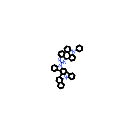 c1ccc(-n2c3ccccc3c3c(-c4nc(-n5c6ccccc6c6c7c8ccc9ccccc9c8n8c9ccccc9c(cc65)c78)nc5ccccc45)cccc32)cc1